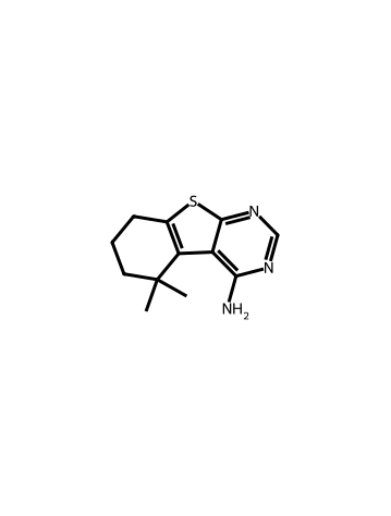 CC1(C)CCCc2sc3ncnc(N)c3c21